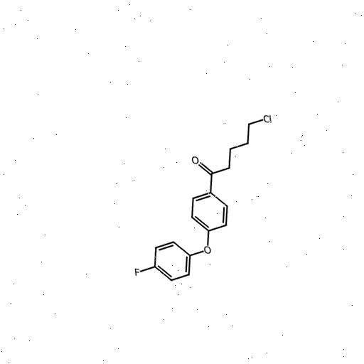 O=C(CCCCCl)c1ccc(Oc2ccc(F)cc2)cc1